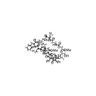 CCC(CO)OC(COC(=O)NCCC(=O)N[C@@H](C)C(=O)OCCCNC(=O)[C@H](Cc1ccccc1)NC(=O)[C@H](C)[C@@H](OC)[C@@H]1CCCN1C(=O)C[C@@H](OC)[C@H]([C@@H](C)CC)N(C)C(=O)[C@@H](NC(=O)[C@H](C(C)C)N(C)C)C(C)C)OC